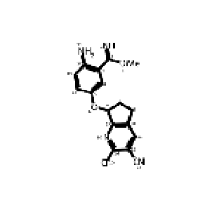 COC(=N)c1cc(OC2CCc3cc(C#N)c(Cl)nc32)ccc1N